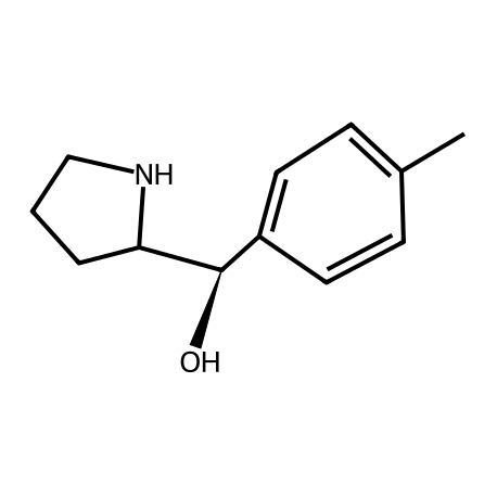 Cc1ccc([C@@H](O)C2CCCN2)cc1